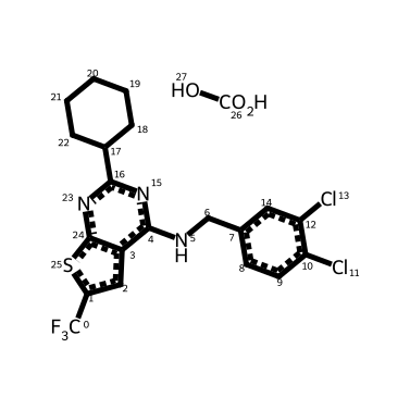 FC(F)(F)c1cc2c(NCc3ccc(Cl)c(Cl)c3)nc(C3CCCCC3)nc2s1.O=C(O)O